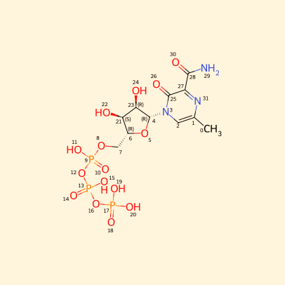 Cc1cn([C@@H]2O[C@H](COP(=O)(O)OP(=O)(O)OP(=O)(O)O)[C@@H](O)[C@H]2O)c(=O)c(C(N)=O)n1